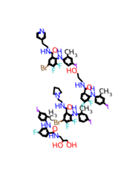 Cc1cc(I)ccc1Nc1c(C(=O)NCCCO)ccc(F)c1F.Cc1cc(I)ccc1Nc1c(C(=O)NCCN2CCCC2)cc(Br)c(F)c1F.Cc1cc(I)ccc1Nc1c(C(=O)NCCc2ccncc2)cc(Br)c(F)c1F.Cc1cc(I)ccc1Nc1cc(F)ccc1C(=O)NCC(O)CO